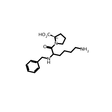 NCCCCC(NCc1ccccc1)C(=O)N1CCC[C@@H]1C(=O)O